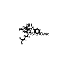 COc1ccc(OC)c(Sc2nc3c(N)nc(F)nc3n2CCC=C(C)C)c1